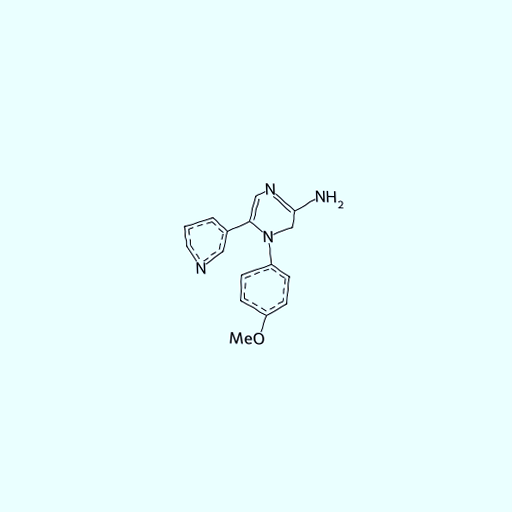 COc1ccc(N2CC(N)=NC=C2c2cccnc2)cc1